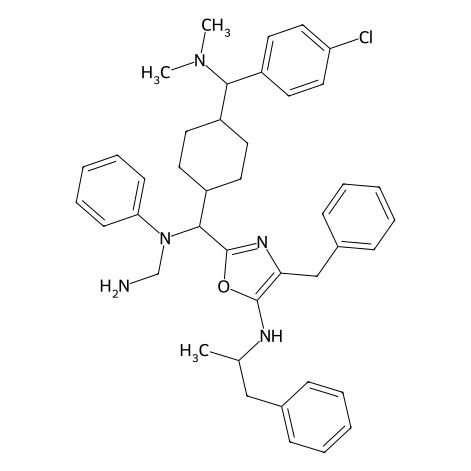 CC(Cc1ccccc1)Nc1oc(C(C2CCC(C(c3ccc(Cl)cc3)N(C)C)CC2)N(CN)c2ccccc2)nc1Cc1ccccc1